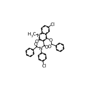 Cn1c(=O)c(C(=O)N(C(=O)c2ccccc2)c2ccc(Cl)cc2)c(OC(=O)c2ccccc2)c2cc(Cl)ccc21